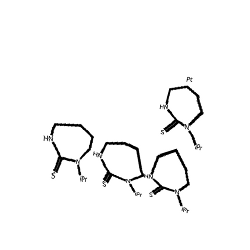 CC(C)N1CCCCNC1=S.CC(C)N1CCCCNC1=S.CC(C)N1CCCCNC1=S.CC(C)N1CCCCNC1=S.[Pt]